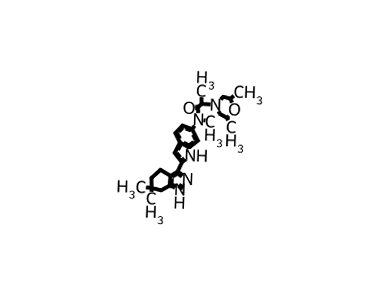 CC1CN(C(C)C(=O)N(C)c2ccc3cc(-c4n[nH]c5c4CCC(C)(C)C5)[nH]c3c2)CC(C)O1